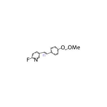 COCOc1ccc(/C=C/c2ccc(F)nc2)cc1